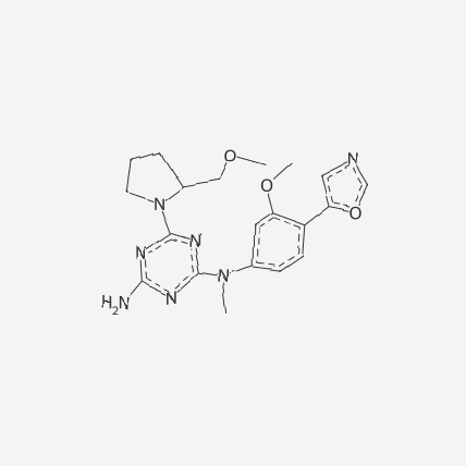 COCC1CCCN1c1nc(N)nc(N(C)c2ccc(-c3cnco3)c(OC)c2)n1